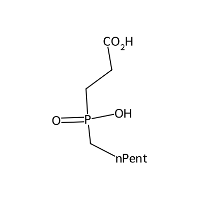 CCCCCCP(=O)(O)CCC(=O)O